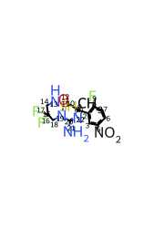 C[C@@]1(c2cc([N+](=O)[O-])ccc2F)C[SH]2(=O)NCC(F)(F)CN2C(N)=N1